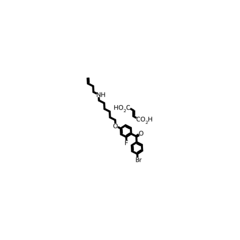 C=CCCNCCCCCCOc1ccc(C(=O)c2ccc(Br)cc2)c(F)c1.O=C(O)C=CC(=O)O